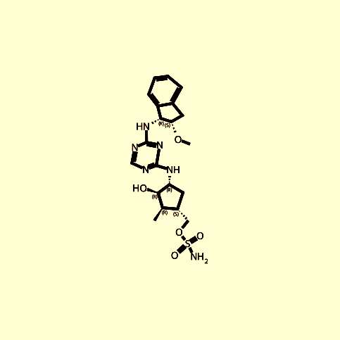 CO[C@H]1Cc2ccccc2[C@H]1Nc1ncnc(N[C@@H]2C[C@H](COS(N)(=O)=O)[C@@H](C)[C@H]2O)n1